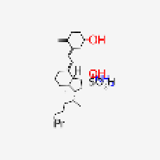 C=C1CC[C@H](O)C/C1=C\C=C1/CCC[C@]2(C)[C@@H](C(C)CCCC(C)C)CC[C@@H]12.N.O=S(=O)(O)O